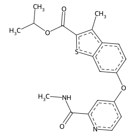 CNC(=O)c1cc(Oc2ccc3c(C)c(C(=O)OC(C)C)sc3c2)ccn1